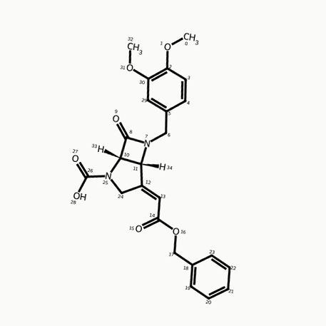 COc1ccc(CN2C(=O)[C@@H]3[C@H]2C(=CC(=O)OCc2ccccc2)CN3C(=O)O)cc1OC